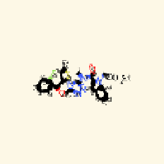 CCOC(=O)Cn1c(C(=O)N(C)c2nnc(C)n2-c2sc(CC)cc2C(=O)c2ccccc2F)cc2ccccc21